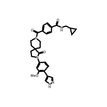 COc1cc(N2CCC3(CCN(C(=O)c4ccc(C(=O)NCC5CC5)cc4)CC3)C2=O)ccc1-c1cn[nH]c1